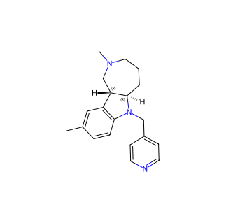 Cc1ccc2c(c1)[C@@H]1CN(C)CCC[C@H]1N2Cc1ccncc1